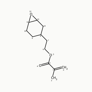 C=C(C)C(=O)OCCC1CCC2OC2C1